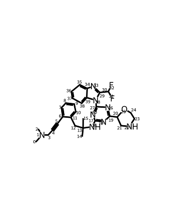 CN(C)CC#Cc1ccccc1CC(C)(C)Nc1nc(C2CNCCO2)nc(-n2c(C(F)F)nc3ccccc32)n1